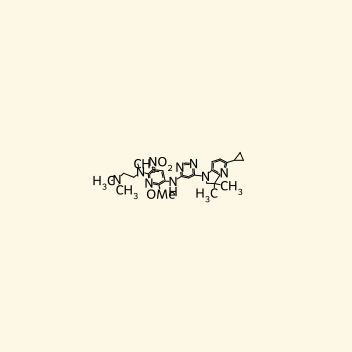 COc1nc(N(C)CCN(C)C)c([N+](=O)[O-])cc1Nc1cc(N2CC(C)(C)c3nc(C4CC4)ccc32)ncn1